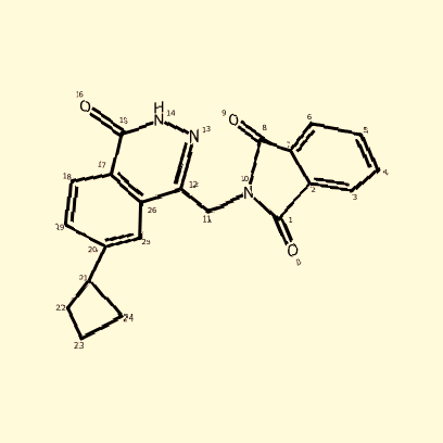 O=C1c2ccccc2C(=O)N1Cc1n[nH]c(=O)c2ccc(C3CCC3)cc12